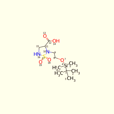 CC(C)(C)[Si](C)(C)OCCN1C(C(=O)O)CNS1(=O)=O